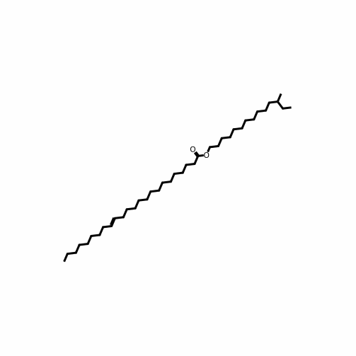 CCCCCCCCC=CCCCCCCCCCCCCCC(=O)OCCCCCCCCCCCC(C)CC